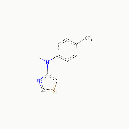 CN(c1ccc(C(F)(F)F)cc1)c1cs[c]n1